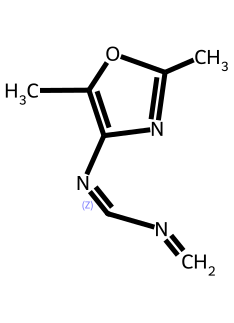 C=N/C=N\c1nc(C)oc1C